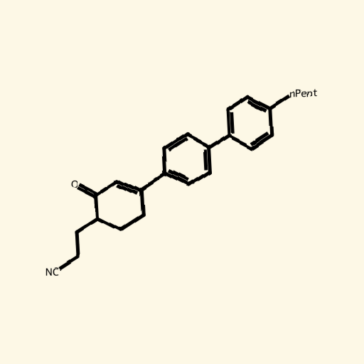 CCCCCc1ccc(-c2ccc(C3=CC(=O)C(CCC#N)CC3)cc2)cc1